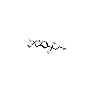 CC(C)(C)Cc1cc(C(C)(C)CCS)cs1